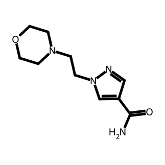 NC(=O)c1cnn(CCN2CCOCC2)c1